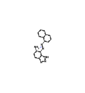 Nc1ccc2nn[nH]c2c1/N=N/c1cccc2ccccc12